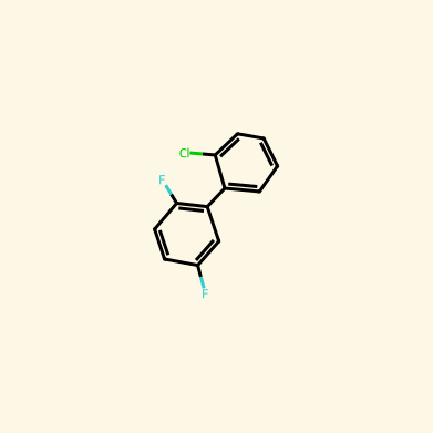 Fc1ccc(F)c(-c2ccccc2Cl)c1